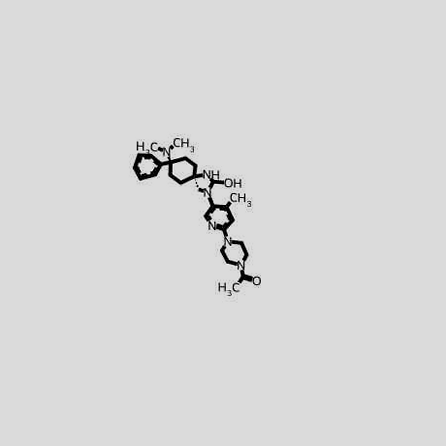 CC(=O)N1CCN(c2cc(C)c(N3C[C@]4(CC[C@](c5ccccc5)(N(C)C)CC4)NC3O)cn2)CC1